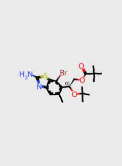 Cc1cc2nc(N)sc2c(Br)c1[C@@H](COC(=O)C(C)(C)C)OC(C)(C)C